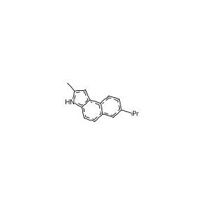 Cc1cc2c(ccc3cc(C(C)C)ccc32)[nH]1